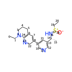 CCN1CCCc2cc(-c3cncc([C@@H](C)N[S+]([O-])CC)c3)cnc21